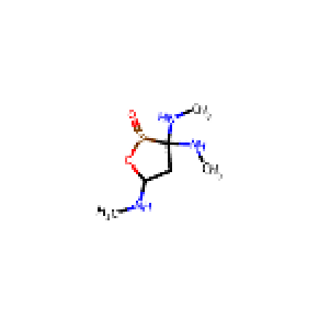 CNC1CC(NC)(NC)S(=O)O1